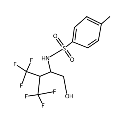 Cc1ccc(S(=O)(=O)NC(CO)C(C(F)(F)F)C(F)(F)F)cc1